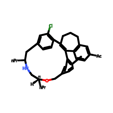 CCCC1Cc2ccc(c(Cl)c2)C2=C(c3cc(ccc3C)CO[C@H](CCC)CN1)c1ccc(C(C)=O)cc1CCC2